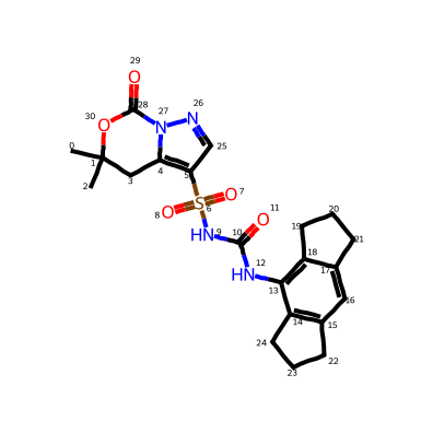 CC1(C)Cc2c(S(=O)(=O)NC(=O)Nc3c4c(cc5c3CCC5)CCC4)cnn2C(=O)O1